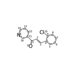 O=C(/C=C/c1ccccc1Cl)c1cccnc1